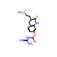 CCC(NC(=N)N)Oc1ccc2c(c1)NC(=O)C(CCC(=O)O)C2